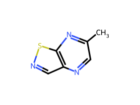 Cc1cnc2cnsc2n1